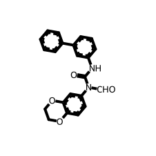 O=CN(C(=O)Nc1cccc(-c2ccccc2)c1)c1ccc2c(c1)OCCO2